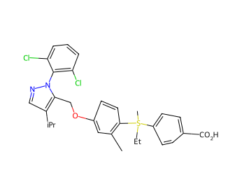 CCS(C)(c1ccc(C(=O)O)cc1)c1ccc(OCc2c(C(C)C)cnn2-c2c(Cl)cccc2Cl)cc1C